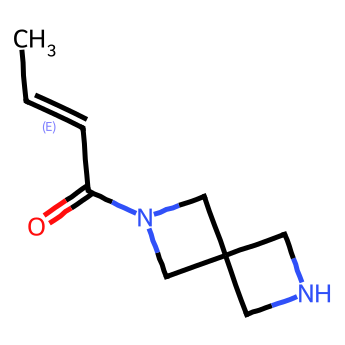 C/C=C/C(=O)N1CC2(CNC2)C1